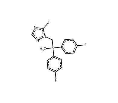 C[Si](Cn1ncnc1I)(c1ccc(F)cc1)c1ccc(F)cc1